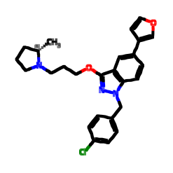 C[C@H]1CCCN1CCCOc1nn(Cc2ccc(Cl)cc2)c2ccc(-c3ccoc3)cc12